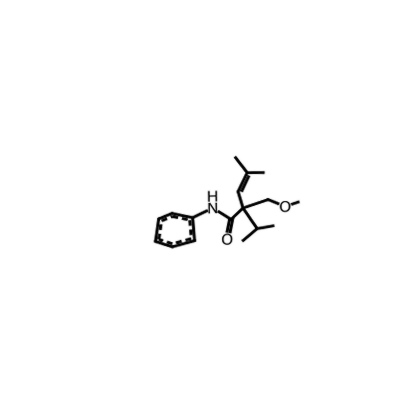 COCC(C=C(C)C)(C(=O)Nc1ccccc1)C(C)C